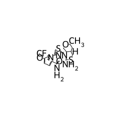 C[C@H]1C[C@H]2CSC(N)=N[C@@]2(c2nc(N3CC(OC(F)(F)F)=CC=C3C(N)=O)cs2)CO1